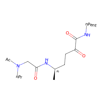 CCCCCNC(=O)C(=O)CC[C@@H](C)NC(=O)CN(CCC)C(C)=O